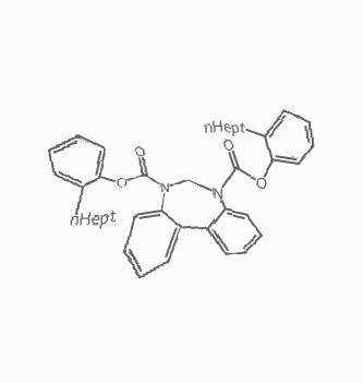 CCCCCCCc1ccccc1OC(=O)N1CN(C(=O)Oc2ccccc2CCCCCCC)c2ccccc2-c2ccccc21